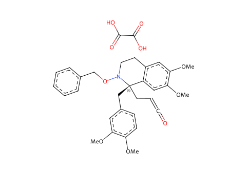 COc1ccc(C[C@]2(CC=C=O)c3cc(OC)c(OC)cc3CCN2OCc2ccccc2)cc1OC.O=C(O)C(=O)O